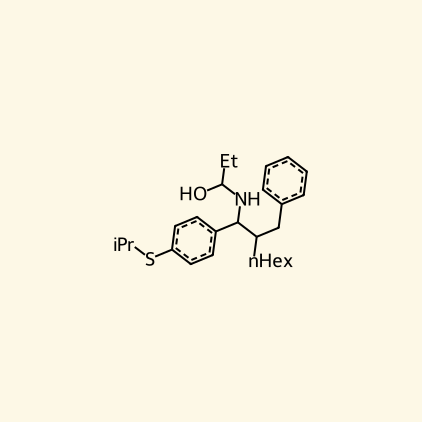 CCCCCCC(Cc1ccccc1)C(NC(O)CC)c1ccc(SC(C)C)cc1